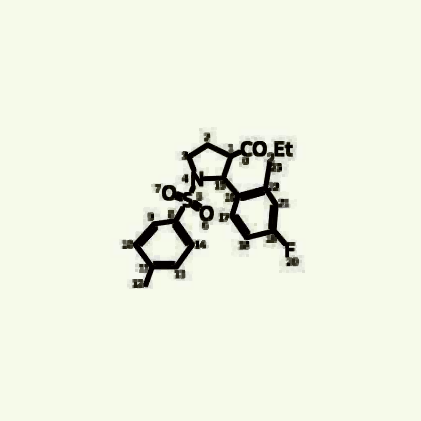 CCOC(=O)C1CCN(S(=O)(=O)c2ccc(C)cc2)C1c1ccc(F)cc1C